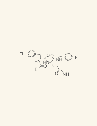 CCC(=O)N[C@@H](Cc1ccc(Cl)cc1)C(=O)N[C@@H](CCC(=O)C=N)C(=O)NCc1ccc(F)cc1